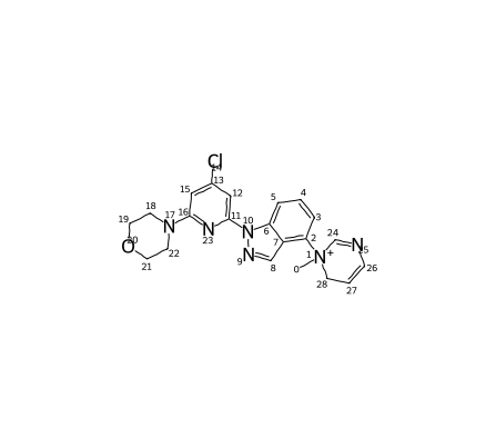 C[N+]1(c2cccc3c2cnn3-c2cc(Cl)cc(N3CCOCC3)n2)C=NC=CC1